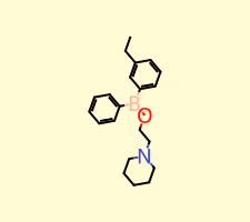 CCc1cccc(B(OCCN2CCCCC2)c2ccccc2)c1